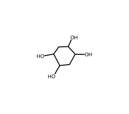 OC1[CH]C(O)C(O)CC1O